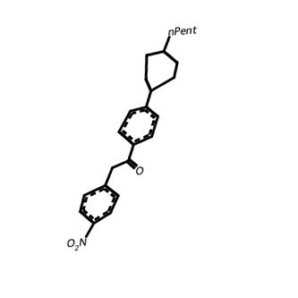 CCCCCC1CCC(c2ccc(C(=O)Cc3ccc([N+](=O)[O-])cc3)cc2)CC1